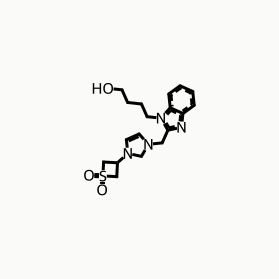 O=S1(=O)CC(N2C=CN(Cc3nc4ccccc4n3CCCCO)C2)C1